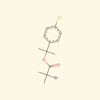 CCC(C)(C)C(=O)OC(C)(C)c1ccc(S)cc1